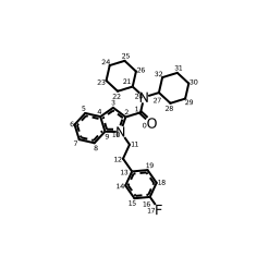 O=C(c1cc2ccccc2n1CCc1ccc(F)cc1)N(C1CCCCC1)C1CCCCC1